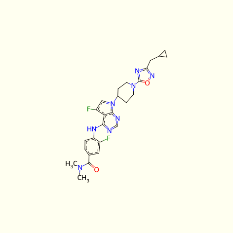 CN(C)C(=O)c1ccc(Nc2ncnc3c2c(F)cn3C2CCN(c3nc(CC4CC4)no3)CC2)c(F)c1